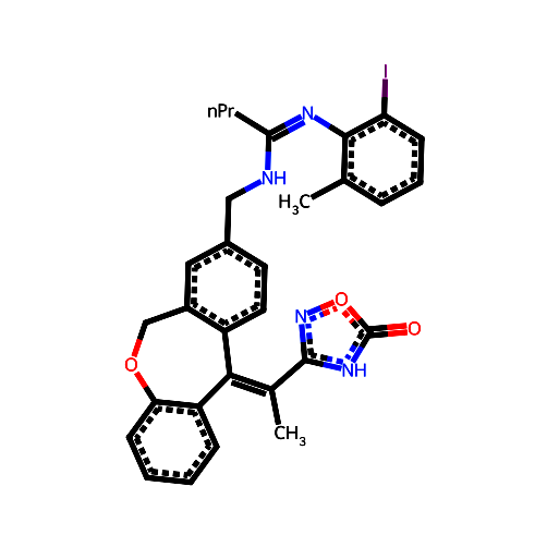 CCC/C(=N/c1c(C)cccc1I)NCc1ccc2c(c1)COc1ccccc1/C2=C(\C)c1noc(=O)[nH]1